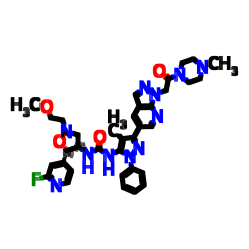 COCCN1C[C@@H](NC(=O)Nc2c(C)c(-c3cnc4c(cnn4CC(=O)N4CCN(C)CC4)c3)nn2-c2ccccc2)[C@H](c2ccnc(F)c2)O1